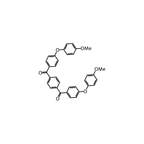 COc1ccc(Oc2ccc(C(=O)c3ccc(C(=O)c4ccc(Oc5ccc(OC)cc5)cc4)cc3)cc2)cc1